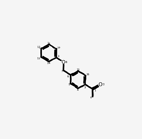 CC(=O)c1ccc(COc2cc[c]cc2)cc1